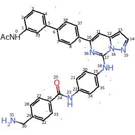 CC(=O)Nc1cccc(-c2ccc(-c3cc4ccnn4c(Nc4ccc(NC(=O)c5ccc(CN)cc5)cc4)n3)cc2)c1